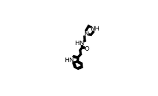 O=C(CCc1c[nH]c2ccccc12)NCCN1CCNCC1